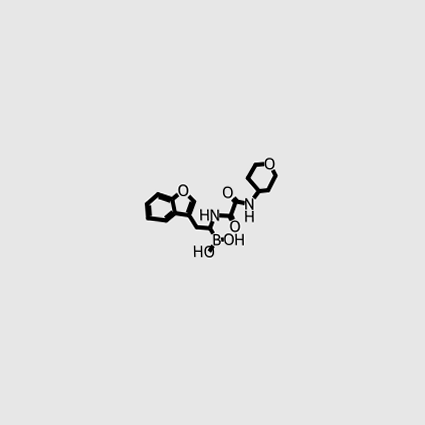 O=C(NC1CCOCC1)C(=O)NC(Cc1coc2ccccc12)B(O)O